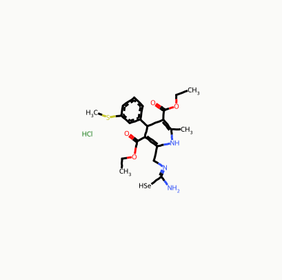 CCOC(=O)C1=C(C)NC(CN=C(N)[SeH])=C(C(=O)OCC)C1c1cccc(SC)c1.Cl